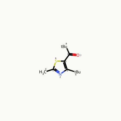 Cc1nc(C(C)(C)C)c(C(=O)C(C)(C)C)s1